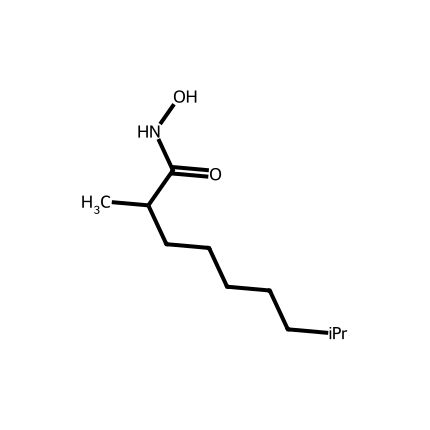 CC(C)CCCCCC(C)C(=O)NO